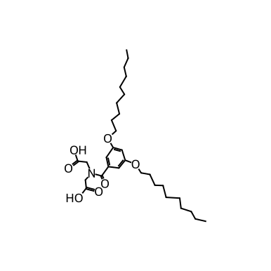 CCCCCCCCCCOc1cc(OCCCCCCCCCC)cc(C(=O)N(CC(=O)O)CC(=O)O)c1